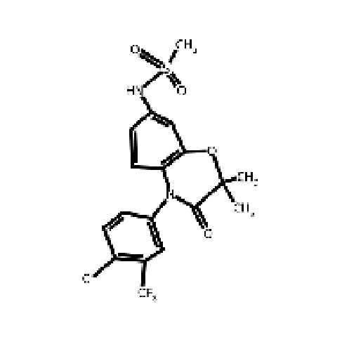 CC1(C)Oc2cc(NS(C)(=O)=O)ccc2N(c2ccc(Cl)c(C(F)(F)F)c2)C1=O